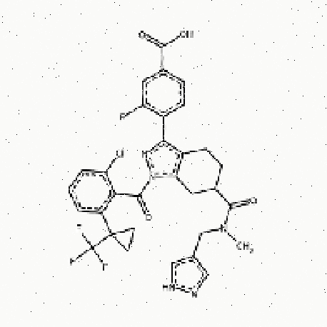 CN(Cc1cn[nH]c1)C(=O)C1CCc2c(-c3ccc(C(=O)O)cc3F)nn(C(=O)c3c(Cl)cccc3C3(C(F)(F)F)CC3)c2C1